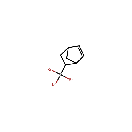 Br[Si](Br)(Br)C1CC2C=CC1C2